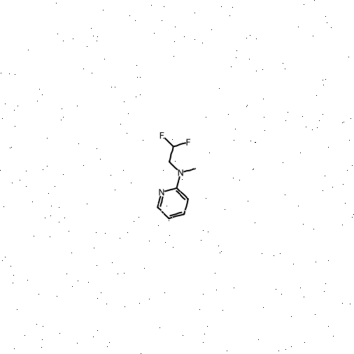 CN(CC(F)F)c1cc[c]cn1